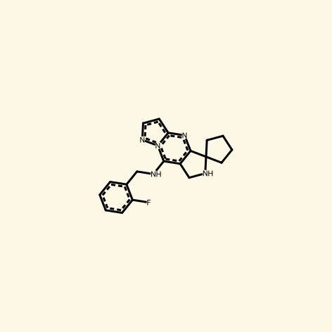 Fc1ccccc1CNc1c2c(nc3ccnn13)C1(CCCC1)NC2